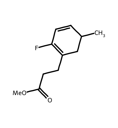 COC(=O)CCC1=C(F)C=CC(C)C1